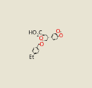 CCc1ccc(CO[C@H]2C[C@@H](c3ccc4c(c3)OCO4)C=C(C(=O)O)O2)cc1